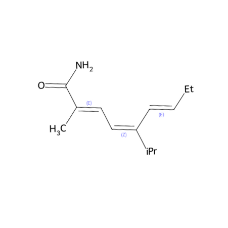 CC/C=C/C(=C\C=C(/C)C(N)=O)C(C)C